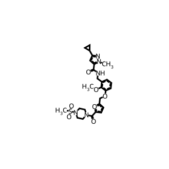 COc1c(CNC(=O)c2cc(C3CC3)nn2C)cccc1OCc1ccc(C(=O)N2CCN(S(C)(=O)=O)CC2)o1